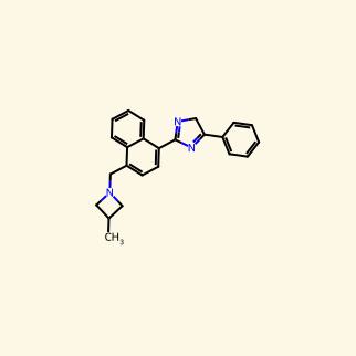 CC1CN(Cc2ccc(C3=NCC(c4ccccc4)=N3)c3ccccc23)C1